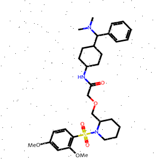 COc1ccc(S(=O)(=O)N2CCCCC2COCC(=O)NC2CCC(C(c3ccccc3)N(C)C)CC2)c(OC)c1